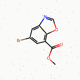 COC(=O)c1cc(Br)cc2ncoc12